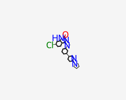 CN(c1cccc(-c2ccc(N3CCCC3)nc2)c1)c1nc(=O)[nH]c2cc(Cl)ccc12